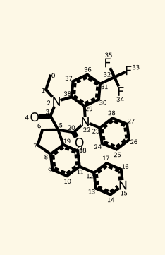 CCN1C(=O)C2(CCc3ccc(-c4ccncc4)cc32)C(=O)N(c2ccccc2)c2cc(C(F)(F)F)ccc21